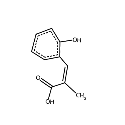 CC(=Cc1ccccc1O)C(=O)O